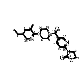 CCC1C=C(C)C(N2CCN(C(=O)c3ccc(N4CCOC4=O)nc3)CC2)=NC1